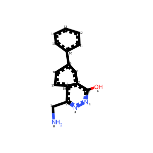 NCc1nnc(O)c2cc(-c3ccccc3)ccc12